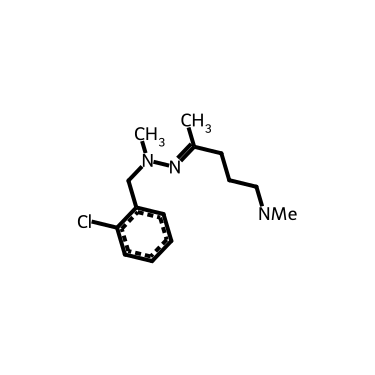 CNCCC/C(C)=N/N(C)Cc1ccccc1Cl